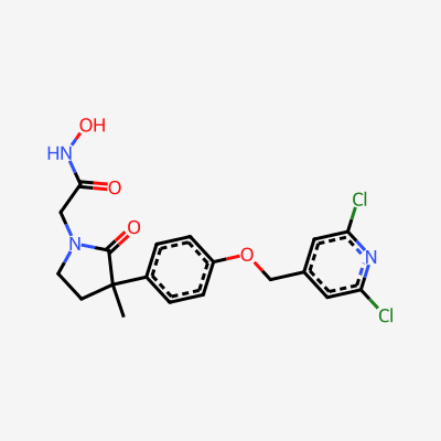 CC1(c2ccc(OCc3cc(Cl)nc(Cl)c3)cc2)CCN(CC(=O)NO)C1=O